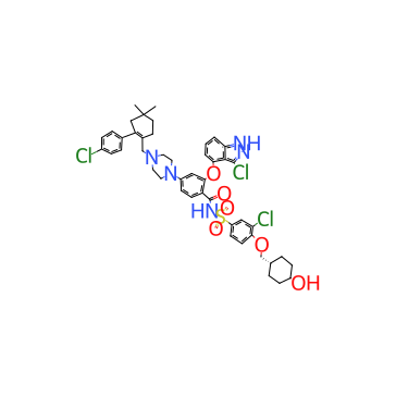 CC1(C)CCC(CN2CCN(c3ccc(C(=O)NS(=O)(=O)c4ccc(OC[C@H]5CC[C@@H](O)CC5)c(Cl)c4)c(Oc4cccc5[nH]nc(Cl)c45)c3)CC2)=C(c2ccc(Cl)cc2)C1